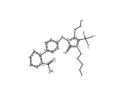 CCCCCn1c(C(F)(F)F)c(CCC)n(Cc2ccc(-c3ccccc3C(=O)O)cc2)c1=O